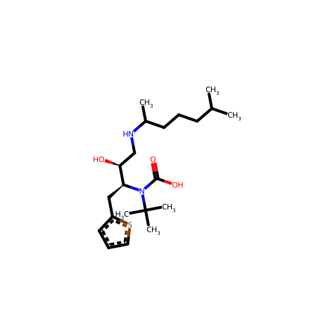 CC(C)CCCC(C)NC[C@H](O)[C@H](Cc1cccs1)N(C(=O)O)C(C)(C)C